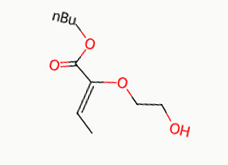 CC=C(OCCO)C(=O)OCCCC